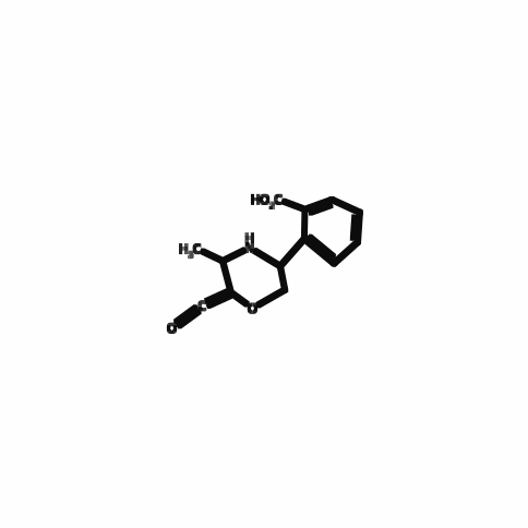 CC1NC(c2ccccc2C(=O)O)COC1=C=O